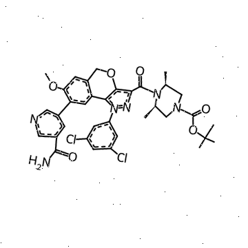 COc1cc2c(cc1-c1cncc(C(N)=O)c1)-c1c(c(C(=O)N3[C@H](C)CN(C(=O)OC(C)(C)C)C[C@@H]3C)nn1-c1cc(Cl)cc(Cl)c1)OC2